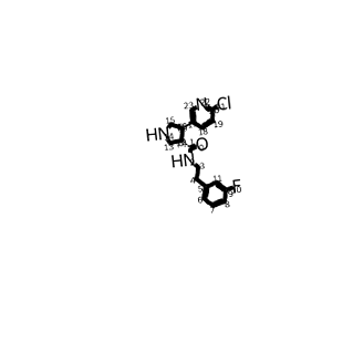 O=C(NCCc1cccc(F)c1)[C@@H]1CNC[C@H]1c1ccc(Cl)nc1